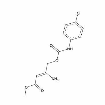 COC(=O)/C=C(\N)COC(=O)Nc1ccc(Cl)cc1